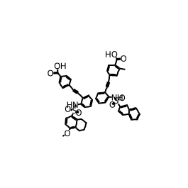 COc1ccc(S(=O)(=O)Nc2ccccc2C#Cc2ccc(C(=O)O)cc2)c2c1CCCC2.Cc1cc(C#Cc2ccccc2NS(=O)(=O)c2ccc3ccccc3c2)ccc1C(=O)O